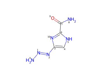 NN=Nc1c[nH]c(C(N)=O)n1